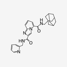 O=C(NCc1ccccn1)c1cn2c(C(=O)NCC34CC5CC(CC(C5)C3)C4)cccc2n1